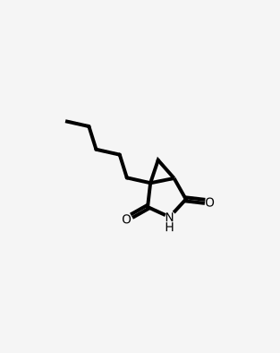 CCCCCC12CC1C(=O)NC2=O